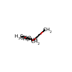 C=CCCCCCCCCCCCCCCCCCCC(=C)NCCCC(=O)NCCOCCOCC(C)C